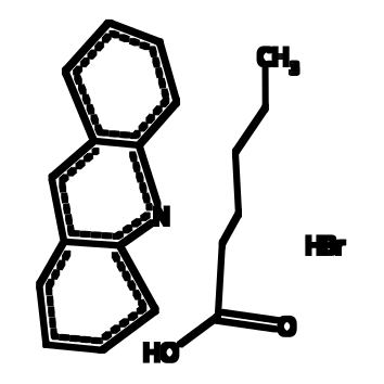 Br.CCCCCC(=O)O.c1ccc2nc3ccccc3cc2c1